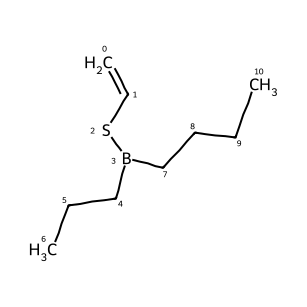 C=CSB(CCC)CCCC